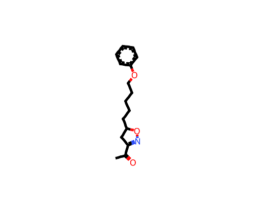 CC(=O)C1=NOC(CCCCCOc2ccccc2)C1